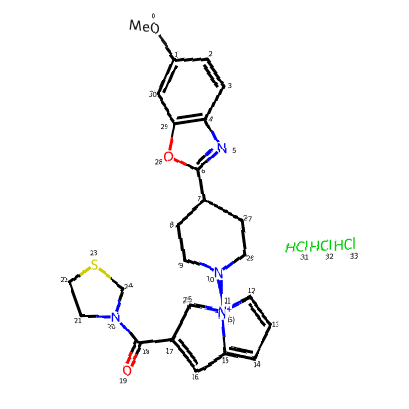 COc1ccc2nc(C3CCN([N@@+]45C=CC=C4C=C(C(=O)N4CCSC4)C5)CC3)oc2c1.Cl.Cl.Cl